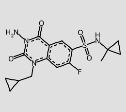 CC1(NS(=O)(=O)c2cc3c(=O)n(N)c(=O)n(CC4CC4)c3cc2F)CC1